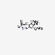 COc1cc(/C=C2/SC(=S)NC2=O)cc(OC)c1O